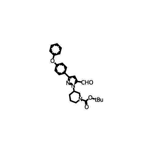 CC(C)(C)OC(=O)N1CCCC(n2nc(-c3ccc(Oc4ccccc4)cc3)cc2C=O)C1